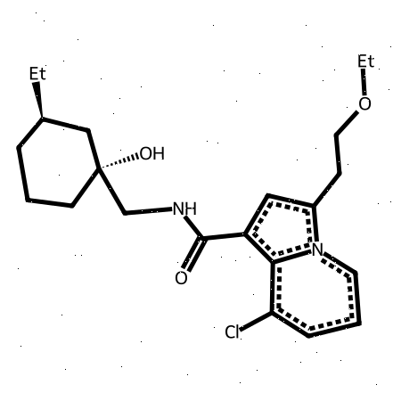 CCOCCc1cc(C(=O)NC[C@@]2(O)CCC[C@@H](CC)C2)c2c(Cl)cccn12